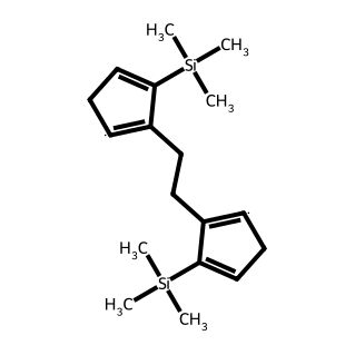 C[Si](C)(C)C1=CC[C]=C1CCC1=[C]CC=C1[Si](C)(C)C